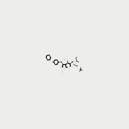 CCC(C)N(NC(=O)OC(C)(C)C)C(=O)c1cnc2[nH]cc(C(=O)c3ccc(Oc4ccccc4)cc3Cl)c2c1Cl